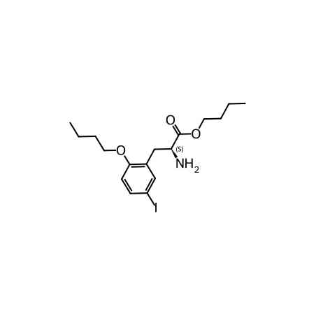 CCCCOC(=O)[C@@H](N)Cc1cc(I)ccc1OCCCC